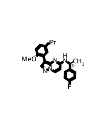 COc1ccc(C(C)C)cc1-c1cnn2ccc(N[C@@H](C)c3ccc(F)cc3)nc12